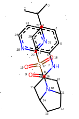 CC(C)c1ccc(NC(=O)N2C3CCC2CC(S(=O)(=O)c2ncccn2)C3)cc1